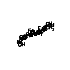 CC(C)(O)Cn1cc(-c2c(F)cc(Oc3ccc(F)c4c3CC[C@H]4Oc3ccc4c(c3)OC[C@H]4CC(=O)O)cc2F)cn1